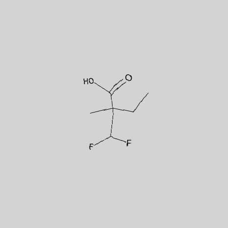 CCC(C)(C(=O)O)C(F)F